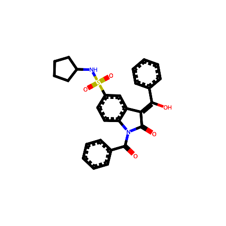 O=C1/C(=C(\O)c2ccccc2)c2cc(S(=O)(=O)NC3CCCC3)ccc2N1C(=O)c1ccccc1